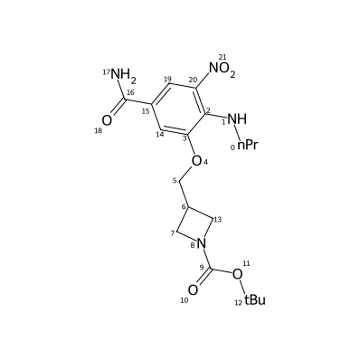 CCCNc1c(OCC2CN(C(=O)OC(C)(C)C)C2)cc(C(N)=O)cc1[N+](=O)[O-]